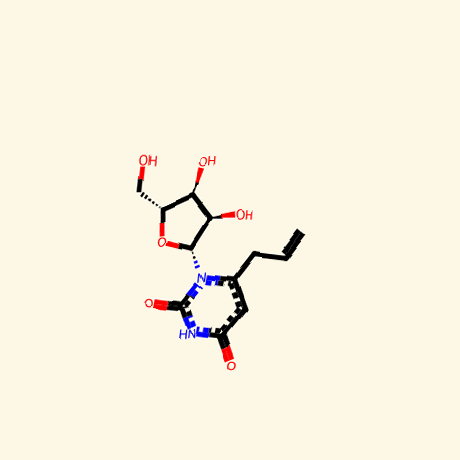 C=CCc1cc(=O)[nH]c(=O)n1[C@@H]1O[C@H](CO)[C@@H](O)[C@H]1O